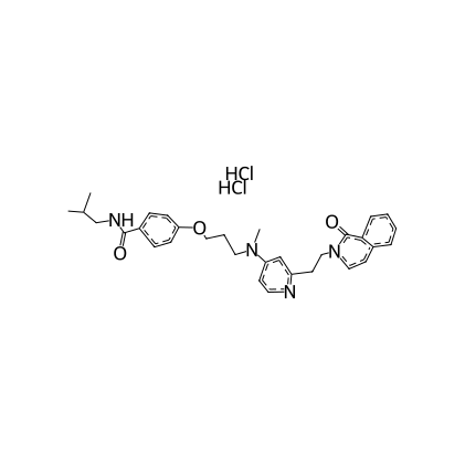 CC(C)CNC(=O)c1ccc(OCCCN(C)c2ccnc(CCn3ccc4ccccc4c3=O)c2)cc1.Cl.Cl